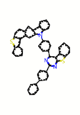 c1ccc(-c2ccc(-c3nc(-c4ccc(-n5c6ccccc6c6cc7ccc8sc9ccccc9c8c7cc65)cc4)c4c(n3)sc3ccccc34)cc2)cc1